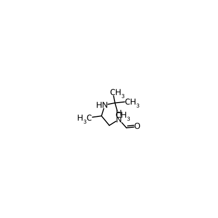 CC(CNC=O)NC(C)(C)C